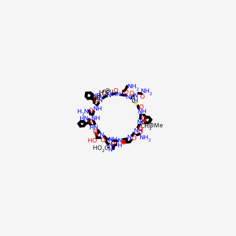 CCCC[C@H]1C(=O)N(C)[C@@H](CCCC)C(=O)N[C@@H](CCCN)C(=O)N[C@H](C(=O)NCC(N)=O)CSCC(=O)N[C@@H](Cc2ccc(OC)cc2)C(=O)N(C)[C@@H](C)C(=O)N[C@@H](CC(N)=O)C(=O)N2CCC[C@H]2C(=O)N[C@@H](Cc2cnc[nH]2)C(=O)N[C@@H](CCC(=O)O)C(=O)N2C[C@H](O)C[C@H]2C(=O)N[C@@H](Cc2c[nH]c3ccccc23)C(=O)NC(CCN)C(=O)N[C@@H](Cc2c[nH]c3ccccc23)C(=O)N1C